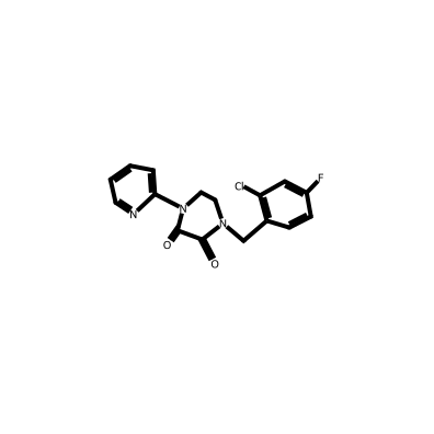 O=C1C(=O)N(c2ccccn2)CCN1Cc1ccc(F)cc1Cl